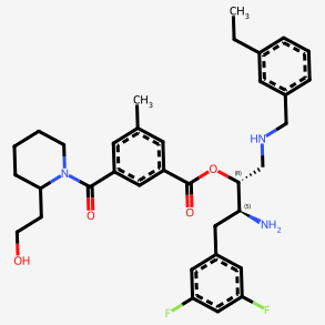 CCc1cccc(CNC[C@@H](OC(=O)c2cc(C)cc(C(=O)N3CCCCC3CCO)c2)[C@@H](N)Cc2cc(F)cc(F)c2)c1